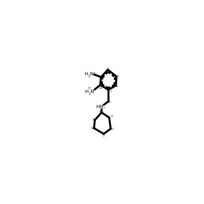 Nc1cccc(CNC2CCCCC2)c1N